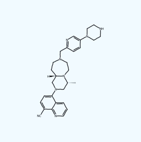 C[C@@H]1CN(c2ccc(C#N)c3ncccc23)C[C@@H]2CCN(Cc3ccc(N4CCNCC4)cn3)CCN21